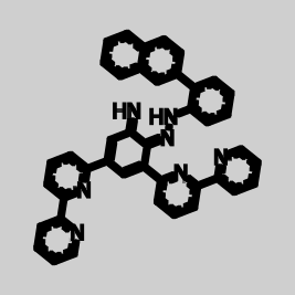 N=C1C=C(c2cccc(-c3ccccn3)n2)C=C(c2cccc(-c3ccccn3)n2)/C1=N/Nc1ccccc1-c1ccc2ccccc2c1